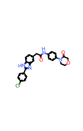 O=C(Cc1ccc2[nH]c(-c3ccc(Cl)cc3)nc2c1)Nc1ccc(N2CCOCC2=O)cc1